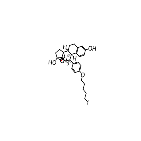 C[C@]12C[C@H](c3ccc(OCCCCCI)cc3)[C@@H]3c4ccc(O)cc4CC[C@H]3C13CCC2(O)CC3